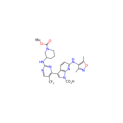 Cc1noc(C)c1Nc1ccc2c(-c3nc(NC4CCCN(C(=O)OC(C)(C)C)C4)ncc3C(F)(F)F)cn(C(=O)O)c2n1